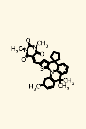 CC1C=CC2=C(C1)N1c3sc(C=C4C(=O)N(C)C(=O)N(C)C4=O)cc3C3(CCCC3)c3cccc(c31)C2(C)C